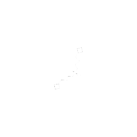 O=S(=O)(CCOCC1CCC1)CCOCC1CCC1